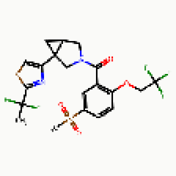 CC(F)(F)c1nc(C23CC2CN(C(=O)c2cc(S(C)(=O)=O)ccc2OCC(F)(F)F)C3)cs1